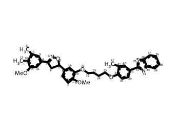 COc1ccc(C2CC(c3cc(C)c(C)c(OC)c3)=NO2)cc1OCCCCOc1ccc(-c2nc3ccccc3s2)cc1C